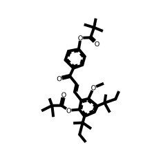 CCC(C)(C)c1cc(C(C)(C)CC)c(OC(=O)C(C)(C)C)c(C=CC(=O)c2ccc(OC(=O)C(C)(C)C)cc2)c1OC